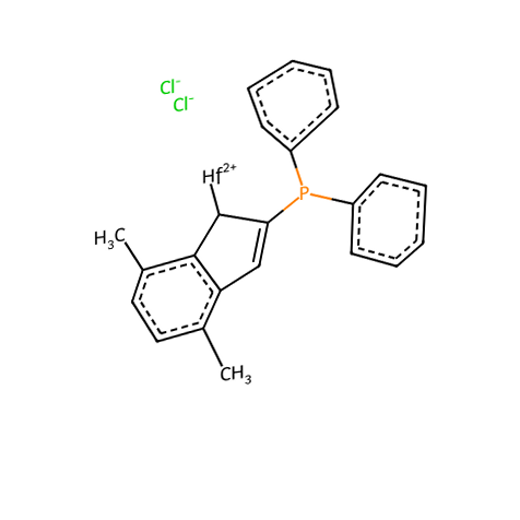 Cc1ccc(C)c2c1C=C(P(c1ccccc1)c1ccccc1)[CH]2[Hf+2].[Cl-].[Cl-]